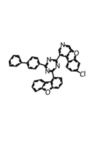 Clc1ccc2c(c1)oc1cncc(-c3nc(-c4ccc(-c5ccccc5)cc4)nc(-c4cccc5oc6ccccc6c45)n3)c12